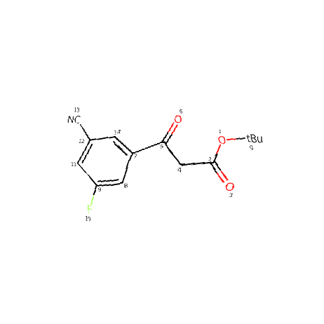 CC(C)(C)OC(=O)CC(=O)c1cc(F)cc(C#N)c1